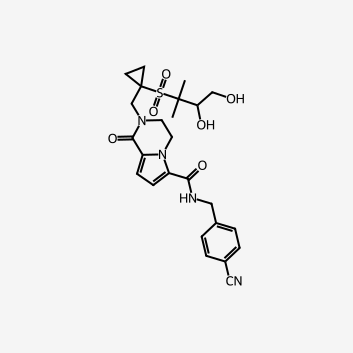 CC(C)(C(O)CO)S(=O)(=O)C1(CN2CCn3c(C(=O)NCc4ccc(C#N)cc4)ccc3C2=O)CC1